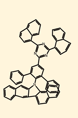 c1ccc(-c2cc(-c3nc(-c4cccc5ccccc45)nc(-c4cccc5ccccc45)n3)cc(-c3ccccc3)c2-n2c3cc4ccccc4cc3c3ccc4ccccc4c32)cc1